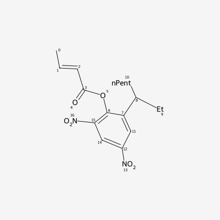 C/C=C/C(=O)Oc1c(C(CC)CCCCC)cc([N+](=O)[O-])cc1[N+](=O)[O-]